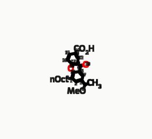 CCCCCCCCc1cc(C(C)OC)cc2c(=O)c3cc(C(=O)O)ccc3oc12